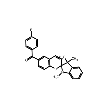 CN1c2ccccc2C(C)(C)C12C=Cc1cc(C(=O)c3ccc(F)cc3)ccc1O2